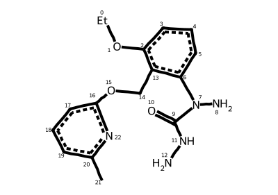 CCOc1cccc(N(N)C(=O)NN)c1COc1cccc(C)n1